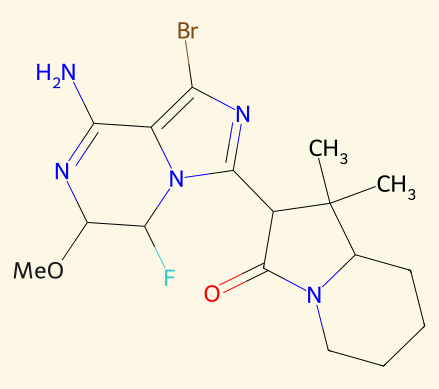 COC1N=C(N)c2c(Br)nc(C3C(=O)N4CCCCC4C3(C)C)n2C1F